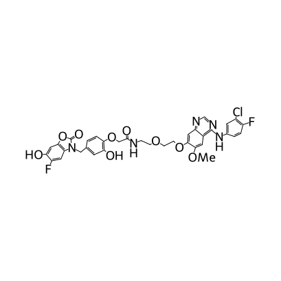 COc1cc2c(Nc3ccc(F)c(Cl)c3)ncnc2cc1OCCOCCNC(=O)COc1ccc(Cn2c(=O)oc3cc(O)c(F)cc32)cc1O